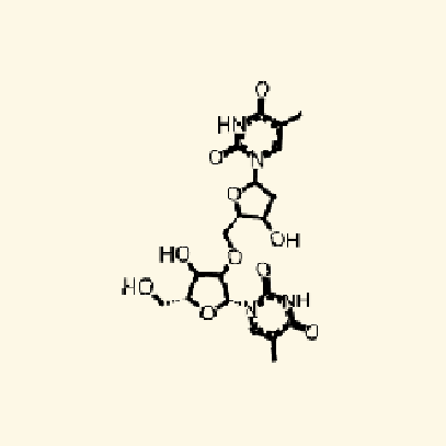 Cc1cn([C@@H]2O[C@H](CO)C(O)C2OC[C@H]2O[C@@H](n3cc(C)c(=O)[nH]c3=O)CC2O)c(=O)[nH]c1=O